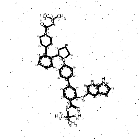 CN(C)CC(=O)N1CCC(c2ccccc2C2CCCN2c2ccc(-c3ccc(C(=O)OC(C)(C)C)c(Oc4cnc5[nH]ccc5c4)c3)cc2)CC1